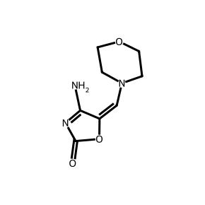 NC1=NC(=O)OC1=CN1CCOCC1